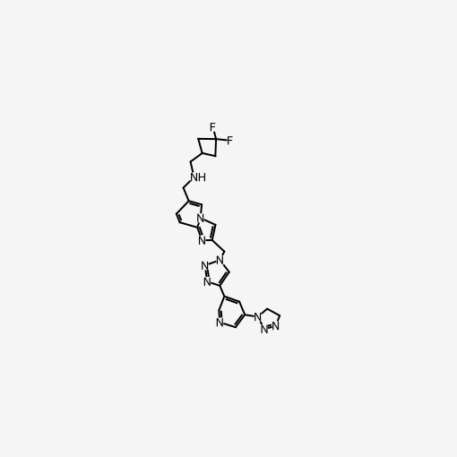 FC1(F)CC(CNCc2ccc3nc(Cn4cc(-c5cncc(N6CCN=N6)c5)nn4)cn3c2)C1